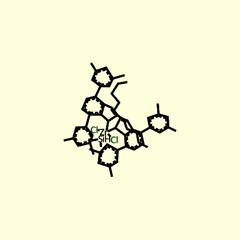 CCCCCC1=Cc2c(-c3cc(C)cc(C)c3)ccc(-c3cc(C)cc(C)c3)c2[CH]1[Zr]([Cl])([Cl])([CH]1C(CCCCC)=Cc2c(-c3cc(C)cc(C)c3)ccc(-c3cc(C)cc(C)c3)c21)[SiH](C)C